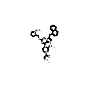 C=CC(=O)N1CCN(c2nc(OCC3CCCN3C)nn3c(Cc4cccc5ccccc45)cnc23)C(C)C1